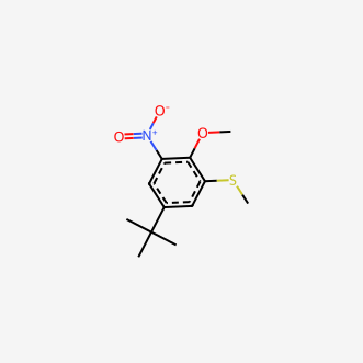 COc1c(SC)cc(C(C)(C)C)cc1[N+](=O)[O-]